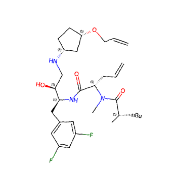 C=CCO[C@H]1CC[C@@H](NC[C@H](O)[C@H](Cc2cc(F)cc(F)c2)NC(=O)[C@H](CC=C)N(C)C(=O)[C@@H](C)CCCC)C1